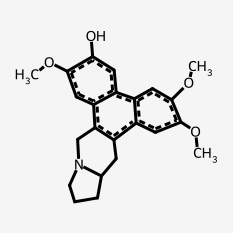 COc1cc2c3c(c4cc(OC)c(OC)cc4c2cc1O)CC1CCCN1C3